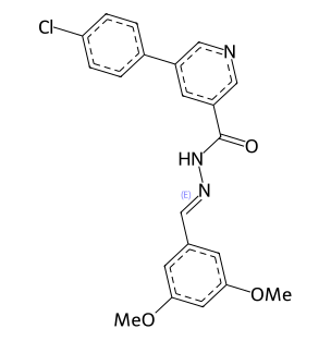 COc1cc(/C=N/NC(=O)c2cncc(-c3ccc(Cl)cc3)c2)cc(OC)c1